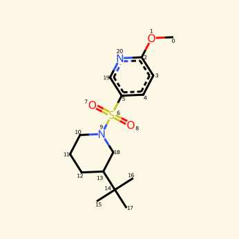 COc1ccc(S(=O)(=O)N2CCCC(C(C)(C)C)C2)cn1